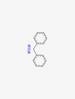 N#N.c1ccc(Cc2ccccc2)cc1